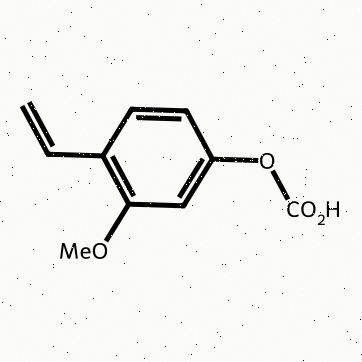 C=Cc1ccc(OC(=O)O)cc1OC